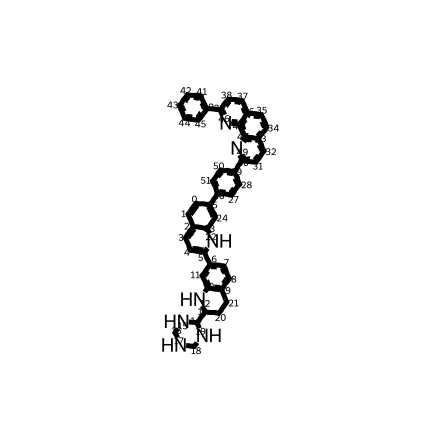 C1=CC2=CC=C(c3ccc4c(c3)NC(C3NCNCN3)CC4)NC2C=C1c1ccc(-c2ccc3ccc4ccc(-c5ccccc5)nc4c3n2)cc1